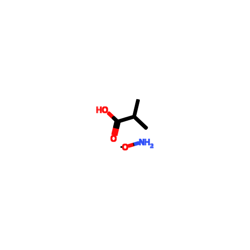 CC(C)C(=O)O.N[O]